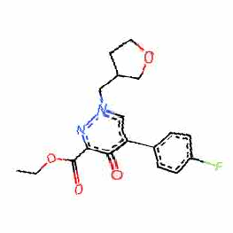 CCOC(=O)c1nn(CC2CCOC2)cc(-c2ccc(F)cc2)c1=O